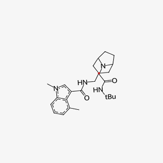 Cc1cccc2c1c(C(=O)NCC1CC3CCC(C1)N3CC(=O)NC(C)(C)C)cn2C